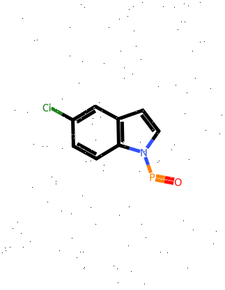 O=Pn1ccc2cc(Cl)ccc21